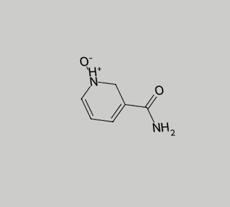 NC(=O)C1=CC=C[NH+]([O-])C1